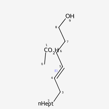 CC(=O)O.CCCCCCCC/C=C/CCCO